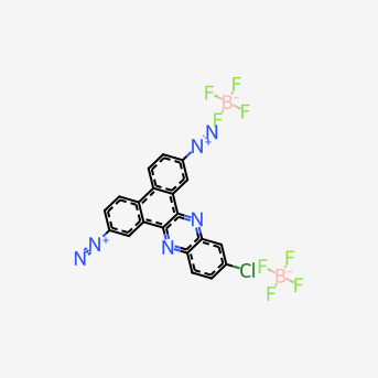 F[B-](F)(F)F.F[B-](F)(F)F.N#[N+]c1ccc2c3ccc([N+]#N)cc3c3nc4cc(Cl)ccc4nc3c2c1